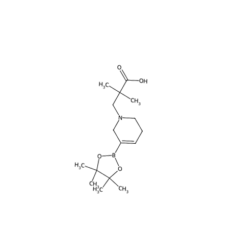 CC(C)(CN1CCC=C(B2OC(C)(C)C(C)(C)O2)C1)C(=O)O